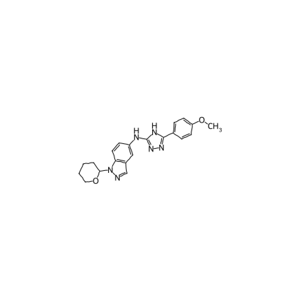 COc1ccc(-c2nnc(Nc3ccc4c(cnn4C4CCCCO4)c3)[nH]2)cc1